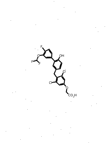 O=C(O)COc1cc(Cl)c(Cc2ccc(O)c(-c3ccc(F)c(OC(F)F)c3)c2)c(Cl)c1